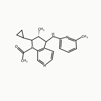 CC(=O)N1c2cnccc2C(Nc2cccc(C)n2)[C@@H](C)C1C1CC1